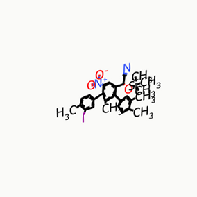 Cc1ccc(-c2c(C(C#N)O[Si](C)(C)C)cc([N+](=O)[O-])c(-c3ccc(C)c(I)c3)c2C)cc1C